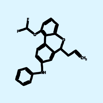 C=CCC1Oc2cccc(OC(F)F)c2-c2ccc(Nc3ccccc3)cc21